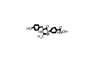 CC(=O)N[C@@H](Cc1ccc(O)cc1)C(=O)Nc1ccc(C(=O)NO)cc1